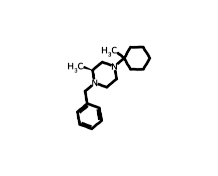 C[C@H]1CN(C2(C)CCCCC2)CCN1Cc1ccccc1